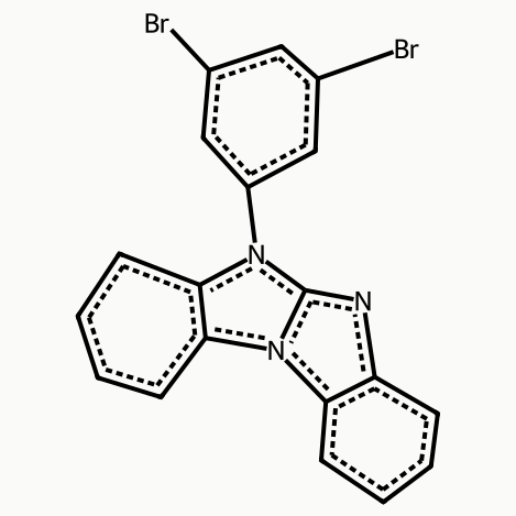 Brc1cc(Br)cc(-n2c3ccccc3n3c4ccccc4nc23)c1